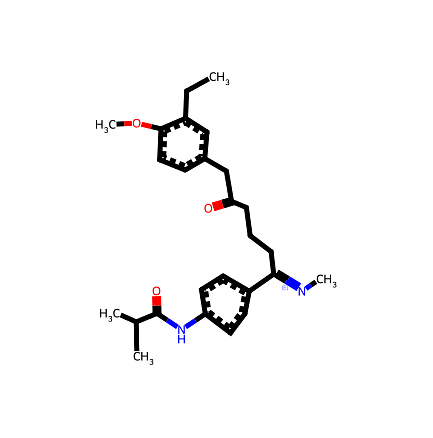 CCc1cc(CC(=O)CCC/C(=N\C)c2ccc(NC(=O)C(C)C)cc2)ccc1OC